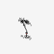 C[C@H](Cn1cnc2c(N)ncnc21)OCP(=O)(O)OCCCOCCCCCCCCc1ccc(C#CC(C)(C)C)cc1